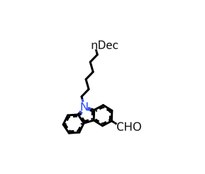 CCCCCCCCCCCCCCCCn1c2ccccc2c2cc(C=O)ccc21